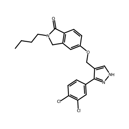 CCCCN1Cc2cc(OCc3c[nH]nc3-c3ccc(Cl)c(Cl)c3)ccc2C1=O